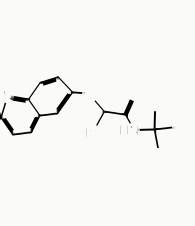 CC(C)(O)NC(=O)C(S)Oc1ccc2ncccc2c1